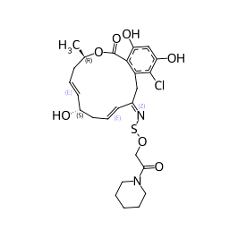 C[C@@H]1C/C=C/[C@@H](O)C/C=C/C(=N\SOCC(=O)N2CCCCC2)Cc2c(Cl)c(O)cc(O)c2C(=O)O1